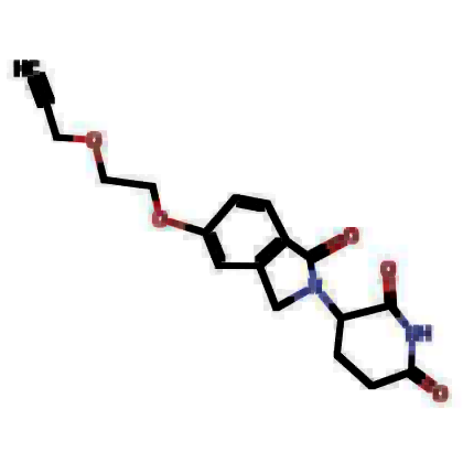 C#CCOCCOc1ccc2c(c1)CN(C1CCC(=O)NC1=O)C2=O